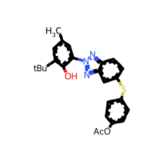 CC(=O)Oc1ccc(Sc2ccc3nn(-c4cc(C)cc(C(C)(C)C)c4O)nc3c2)cc1